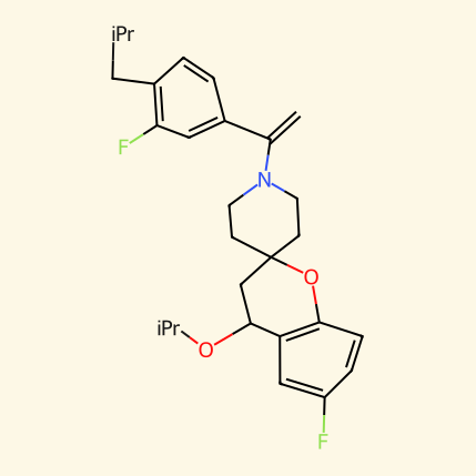 C=C(c1ccc(CC(C)C)c(F)c1)N1CCC2(CC1)CC(OC(C)C)c1cc(F)ccc1O2